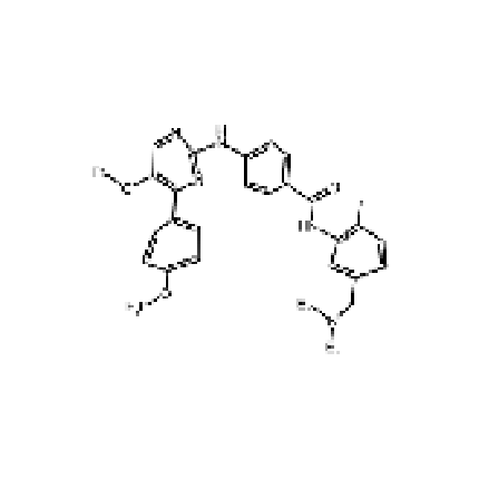 CCOc1cnc(Nc2ccc(C(=O)Nc3cc(CN(CC)CC)ccc3C)cc2)nc1-c1ccc(OC(F)(F)F)cc1